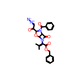 CC(C)=C(C(=O)OCc1ccccc1)N1C(=O)C2C1OC(C(=O)C=[N+]=[N-])N2C(=O)c1ccccc1